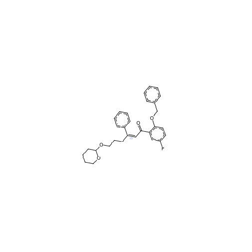 O=C(/C=C(/CCCOC1CCCCO1)c1ccccc1)c1cc(F)ccc1OCc1ccccc1